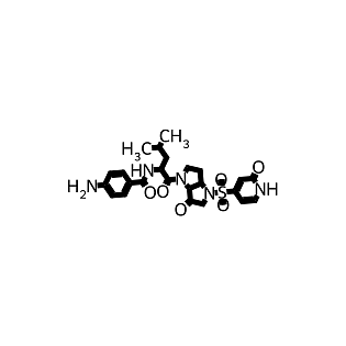 CC(C)CC(NC(=O)c1ccc(N)cc1)C(=O)N1CCC2C1C(=O)CN2S(=O)(=O)c1cc[nH]c(=O)c1